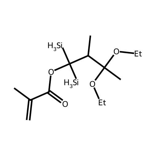 C=C(C)C(=O)OC([SiH3])([SiH3])C(C)C(C)(OCC)OCC